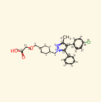 Cc1nn(CC2CCC(COCC(=O)O)CC2)c(-c2ccccc2)c1-c1ccc(Cl)cc1